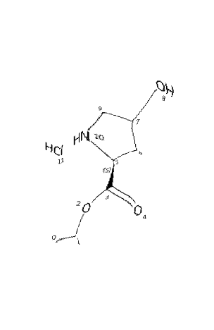 CCOC(=O)[C@@H]1CC(O)CN1.Cl